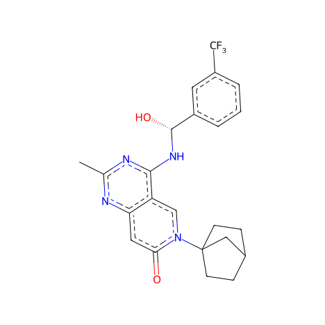 Cc1nc(N[C@H](O)c2cccc(C(F)(F)F)c2)c2cn(C34CCC(CC3)C4)c(=O)cc2n1